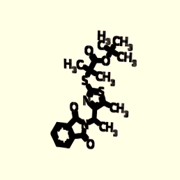 Cc1sc(SC(C)(C)C(=O)OC(C)(C)C)nc1C(C)N1C(=O)c2ccccc2C1=O